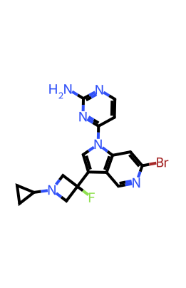 Nc1nccc(-n2cc(C3(F)CN(C4CC4)C3)c3cnc(Br)cc32)n1